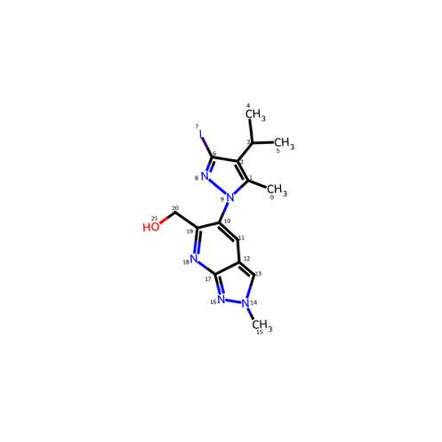 Cc1c(C(C)C)c(I)nn1-c1cc2cn(C)nc2nc1CO